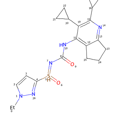 CCn1ccc([SH](=O)=NC(=O)Nc2c3c(nc(C4CC4)c2C2CC2)CCC3)n1